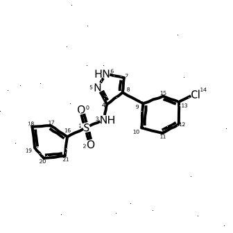 O=S(=O)(Nc1n[nH]cc1-c1cccc(Cl)c1)c1ccccc1